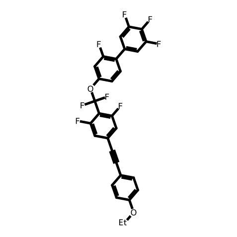 CCOc1ccc(C#Cc2cc(F)c(C(F)(F)Oc3ccc(-c4cc(F)c(F)c(F)c4)c(F)c3)c(F)c2)cc1